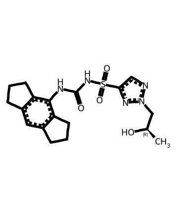 C[C@@H](O)Cn1ncc(S(=O)(=O)NC(=O)Nc2c3c(cc4c2CCC4)CCC3)n1